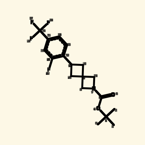 CC(C)(C)OC(=O)N1CC2(CC(c3ccc(C(F)(F)F)cc3F)C2)C1